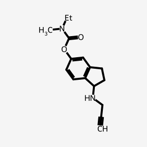 C#CCNC1CCc2cc(OC(=O)N(C)CC)ccc21